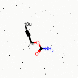 C[C@H](C#CC(C)(C)C)OC(N)=O